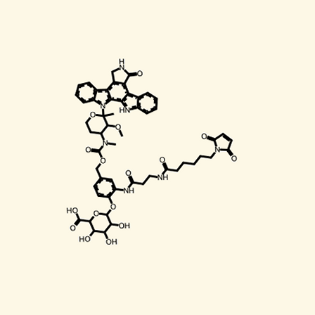 COC1C(N(C)C(=O)OCc2ccc(OC3OC(C(=O)O)C(O)C(O)C3O)c(NC(=O)CCNC(=O)CCCCCN3C(=O)C=CC3=O)c2)CCOC1(C)n1c2ccccc2c2c3c(c4c5ccccc5[nH]c4c21)C(=O)NC3